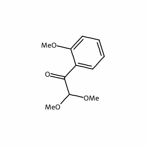 COc1ccccc1C(=O)C(OC)OC